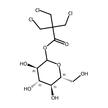 O=C(OC1O[C@H](CO)[C@@H](O)[C@H](O)[C@H]1O)C(CCl)(CCl)CCl